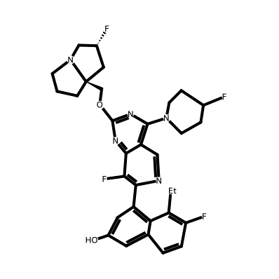 CCc1c(F)ccc2cc(O)cc(-c3ncc4c(N5CCC(F)CC5)nc(OC[C@@]56CCCN5C[C@H](F)C6)nc4c3F)c12